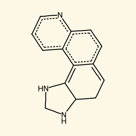 C1=c2ccc3ncccc3c2=C2NCNC2C1